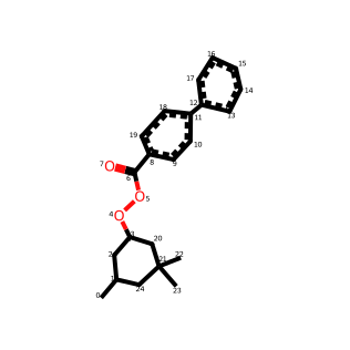 CC1C[C](OOC(=O)c2ccc(-c3ccccc3)cc2)CC(C)(C)C1